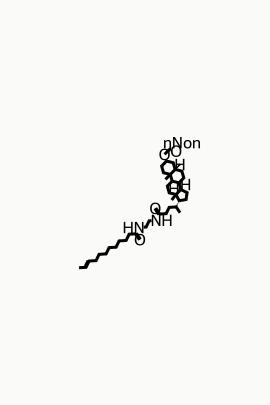 C/C=C/CCCCCCCCC(=O)NCCNC(=O)CCC(C)[C@H]1CC[C@H]2[C@H]3CC[C@H]4C[C@H](OC(=O)CCCCCCCCC)CCC4(C)C3CCC12C